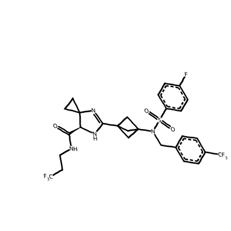 O=C(NCCC(F)(F)F)[C@@H]1NC(C23CC(N(Cc4ccc(C(F)(F)F)cc4)S(=O)(=O)c4ccc(F)cc4)(C2)C3)=NC12CC2